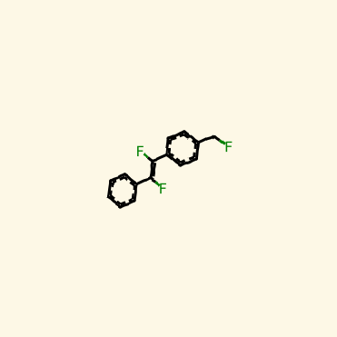 FCc1ccc(/C(F)=C(\F)c2ccccc2)cc1